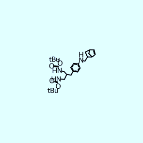 CC(C)(C)OC(=O)NCC(CNC(=O)OC(C)(C)C)Cc1ccc(NCC2CC3C=CC2C3)cc1